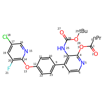 CCCC(=O)Oc1nccc(-c2ccc(Oc3ncc(Cl)cc3F)cc2)c1NC(=O)OC(C)(C)C